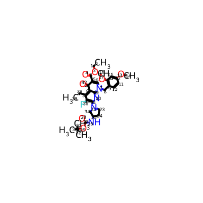 CCOC(=O)c1cn(Cc2ccc(OC)cc2OC)c2nc(N3CCC(NC(=O)OC(C)(C)C)C3)c(F)c(CC)c2c1=O